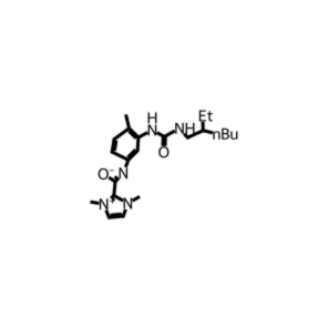 CCCCC(CC)CNC(=O)Nc1cc(/N=C(\[O-])c2n(C)cc[n+]2C)ccc1C